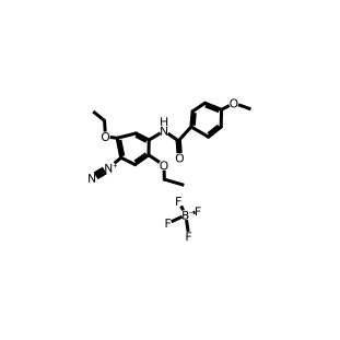 CCOc1cc(NC(=O)c2ccc(OC)cc2)c(OCC)cc1[N+]#N.F[B-](F)(F)F